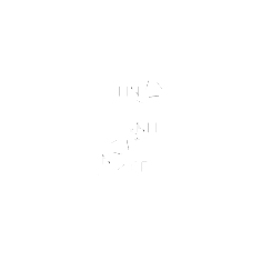 Cn1c(=O)cc(C(F)(F)F)c2cc(S(=O)(=O)NCCc3c[nH]c4ccccc34)ccc21